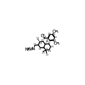 COc1cc(OC)cc(C(=O)[C@H]2[C@H](C)C(CN=[N+]=[N-])CC3C(C)(C)CCC[C@@]32C)c1